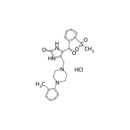 Cc1ccccc1N1CCN(Cc2[nH]c(=O)[nH]c2C(=O)c2ccccc2S(C)(=O)=O)CC1.Cl